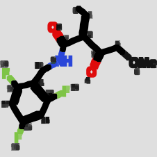 C/C=C(/C(=O)COC)C(=O)NCc1c(F)cc(F)cc1F